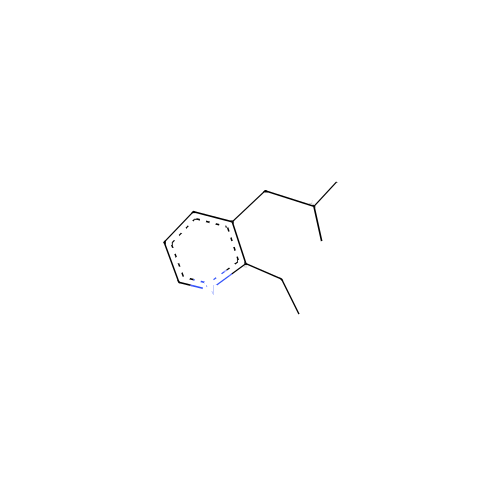 CCc1ncccc1CC(C)C